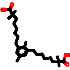 Cc1cc(CCCCCCC(C)(C)C(=O)O)c(C)c(CCCCCCC(C)(C)C(=O)O)c1